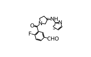 O=Cc1ccc(F)c(C(=O)N2CC[C@@H](Nc3nccs3)C2)c1